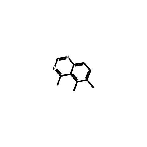 Cc1ccc2ncpc(C)c2c1C